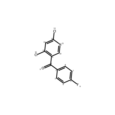 O=C(c1ccc(F)cc1)c1cnc(Cl)cc1Cl